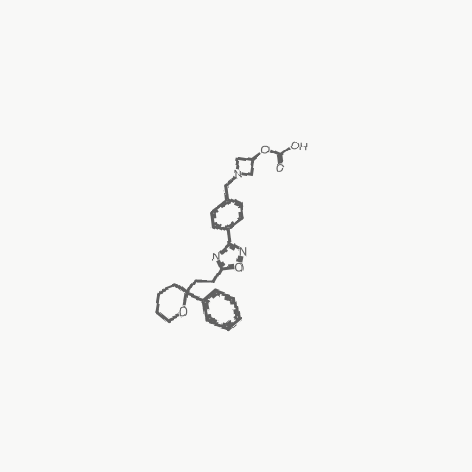 O=C(O)OC1CN(Cc2ccc(-c3noc(CCC4(c5ccccc5)CCCCO4)n3)cc2)C1